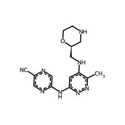 Cc1nnc(Nc2cnc(C#N)cn2)cc1NC[C@@H]1CNCCO1